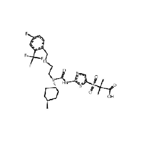 CC(C)(C(=O)O)S(=O)(=O)c1cnc(NC(=O)N(CCOCc2ccc(F)cc2C(F)(F)F)[C@H]2CC[C@H](C)CC2)s1